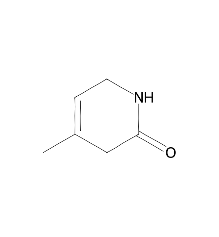 CC1=CCNC(=O)C1